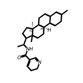 CC1CCC2C(CCC3[C@@H]2CCC2(C)C(C(C)NC(=O)C4=CCCN=C4)CC[C@@]32C)C1